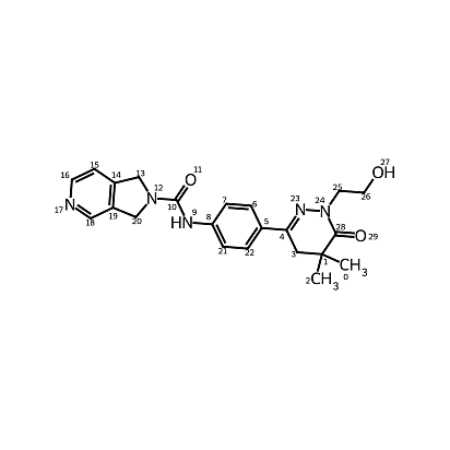 CC1(C)CC(c2ccc(NC(=O)N3Cc4ccncc4C3)cc2)=NN(CCO)C1=O